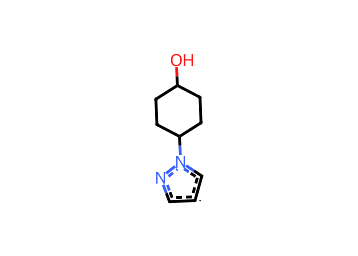 OC1CCC(n2c[c]cn2)CC1